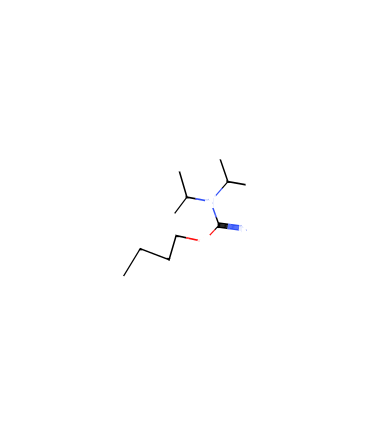 CCCCOC(=N)N(C(C)C)C(C)C